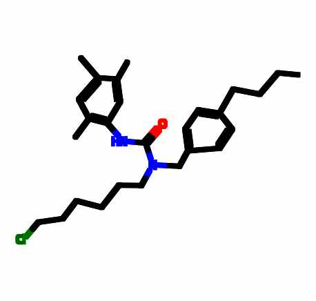 CCCCc1ccc(CN(CCCCCCCl)C(=O)Nc2cc(C)c(C)cc2C)cc1